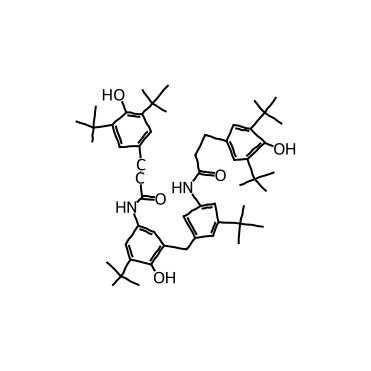 CC(C)(C)c1cc(Cc2cc(NC(=O)CCc3cc(C(C)(C)C)c(O)c(C(C)(C)C)c3)cc(C(C)(C)C)c2O)cc(NC(=O)CCc2cc(C(C)(C)C)c(O)c(C(C)(C)C)c2)c1